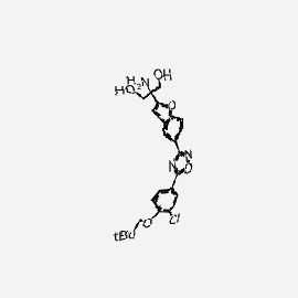 CC(C)(C)COc1ccc(-c2nc(-c3ccc4oc(C(N)(CO)CO)cc4c3)no2)cc1Cl